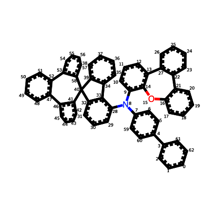 c1ccc(-c2ccc(N(c3cccc4c3Oc3ccccc3-c3ccccc3-4)c3cccc4c3-c3ccccc3C43c4ccccc4-c4ccccc4-c4ccccc43)cc2)cc1